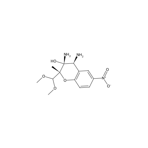 COC(OC)[C@@]1(C)Oc2ccc([N+](=O)[O-])cc2[C@H](N)[C@@]1(N)O